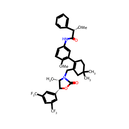 COc1ccc(NC(=O)[C@@H](OC)c2ccccc2)cc1C1=C(CN2C(=O)O[C@H](c3cc(C(F)(F)F)cc(C(F)(F)F)c3)[C@@H]2C)CC(C)(C)CC1